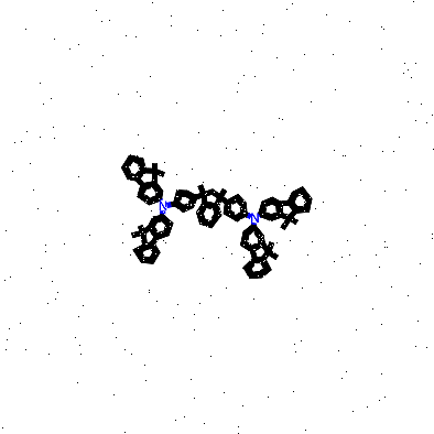 CC1(C)c2ccccc2-c2ccc(N(c3ccc(C4(C)CC(C)(c5ccc(N(c6ccc7c(c6)C(C)(C)c6ccccc6-7)c6ccc7c(c6)C(C)(C)c6ccccc6-7)cc5)c5ccccc54)cc3)c3ccc4c(c3)C(C)(C)c3ccccc3-4)cc21